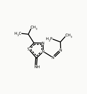 CC(P)/N=N\n1nc(C(C)C)sc1=N